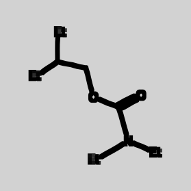 CCC(CC)COC(=O)N(CC)CC